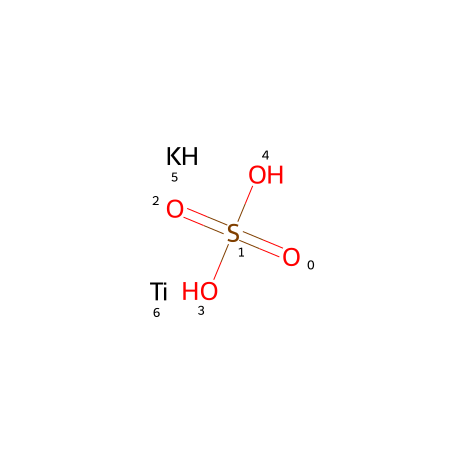 O=S(=O)(O)O.[KH].[Ti]